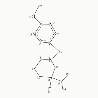 COc1ncc(CN2CCCC(F)(C(C)C)C2)cn1